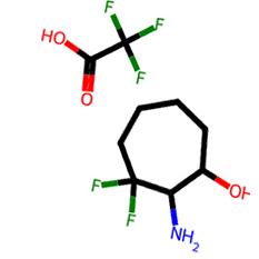 NC1C(O)CCCCC1(F)F.O=C(O)C(F)(F)F